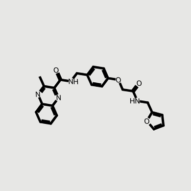 Cc1nc2ccccc2nc1C(=O)NCc1ccc(OCC(=O)NCc2ccco2)cc1